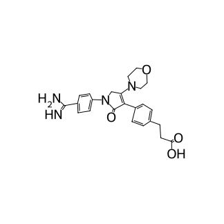 N=C(N)c1ccc(N2CC(N3CCOCC3)=C(c3ccc(CCC(=O)O)cc3)C2=O)cc1